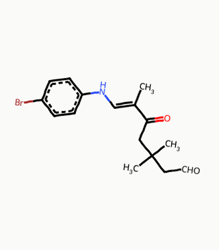 C/C(=C\Nc1ccc(Br)cc1)C(=O)CC(C)(C)CC=O